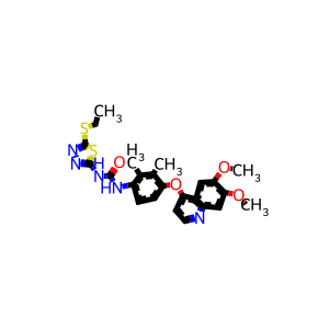 CCSc1nnc(NC(=O)Nc2ccc(Oc3ccnc4cc(OC)c(OC)cc34)c(C)c2C)s1